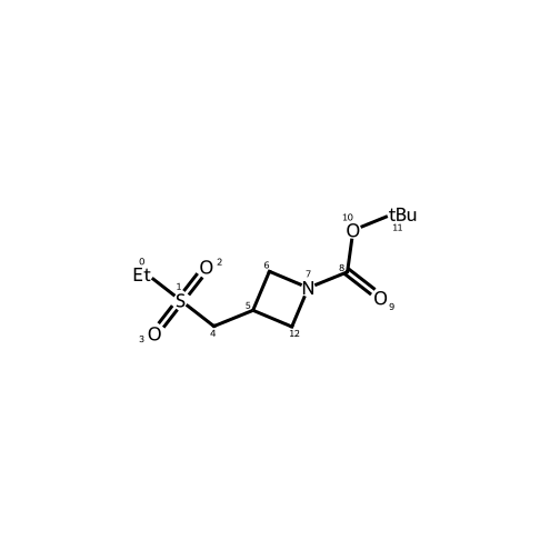 CCS(=O)(=O)CC1CN(C(=O)OC(C)(C)C)C1